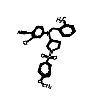 COc1ccc(S(=O)(=O)N2CC[C@H](N(Cc3ccccc3C)c3ccc(C#N)c(Cl)c3)C2)cc1